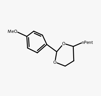 CCCCCC1CCOC(c2ccc(OC)cc2)O1